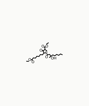 CCCCCCC(C)(O)CC(=O)N1CC(C(=O)OCC)C(=O)C1CCCCCCC(=O)OCC